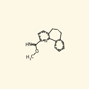 COC(=N)c1ccc2c(n1)-c1ccccc1CCC2